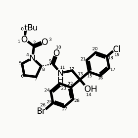 CC(C)(C)OC(=O)N1CCC[C@H]1C(=O)NCC(O)(c1ccc(Cl)cc1)c1ccc(Br)cc1